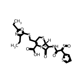 CCc1nc(CC)c(SCC2=C(C(=O)O)N3C(=O)C(NC(=O)C(=S=O)c4cccs4)[C@H]3SC2)o1